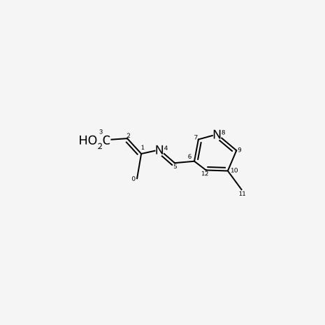 CC(=C\C(=O)O)/N=C/c1cncc(C)c1